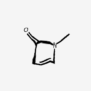 CN1C=CC1=O